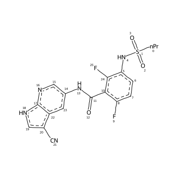 CCCS(=O)(=O)Nc1ccc(F)c(C(=O)Nc2cnc3[nH]cc(C#N)c3c2)c1F